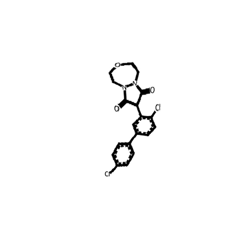 O=C1C(c2cc(-c3ccc(Cl)cc3)ccc2Cl)C(=O)N2CCOCCN12